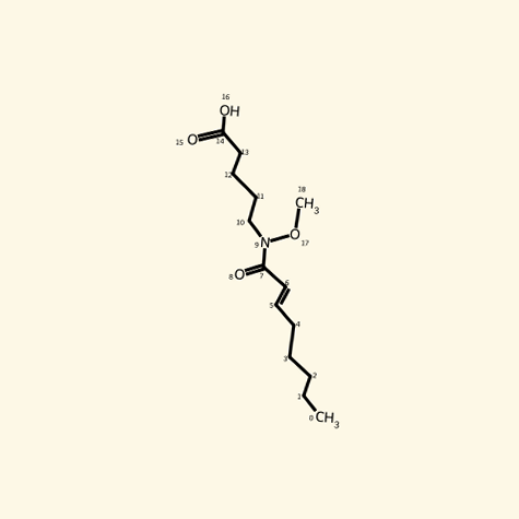 CCCCCC=CC(=O)N(CCCCC(=O)O)OC